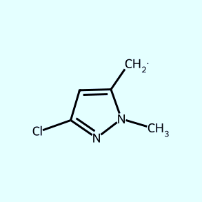 [CH2]c1cc(Cl)nn1C